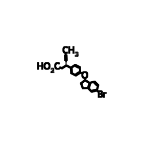 CC#C[C@@H](CC(=O)O)c1ccc(O[C@@H]2CCc3cc(Br)ccc32)cc1